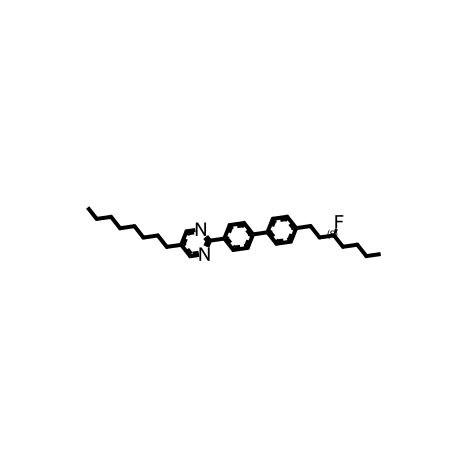 CCCCCCCCc1cnc(-c2ccc(-c3ccc(CC[C@@H](F)CCCC)cc3)cc2)nc1